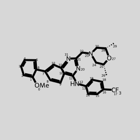 COc1ccccc1-c1ccc2c(Nc3ccc(C(F)(F)F)cc3)nc(CN3C[C@@H](C)O[C@@H](C)C3)nc2c1